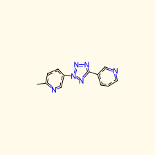 Cc1ccc(-n2nnc(-c3cccnc3)n2)cn1